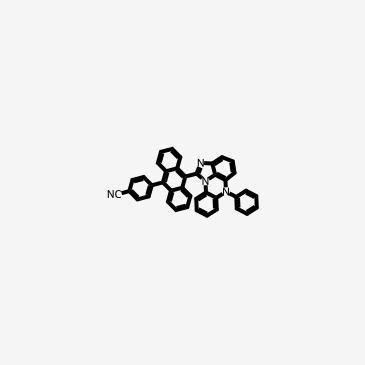 N#Cc1ccc(-c2c3ccccc3c(-c3nc4cccc5c4n3-c3ccccc3N5c3ccccc3)c3ccccc23)cc1